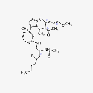 C=C(C(/C(Cl)=C\C=C\OC)=C(/C)Cl)c1nccn1C1=NC(NC/C(=C\C(F)CCCC)NC(C)=O)=NCC=C1C